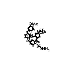 COc1cccc(CC2CCN(Cc3ccc4c(c3)c(-c3ccc(OC(F)(F)F)cc3CN)cn4CCCN)CC2)c1.Cl.Cl